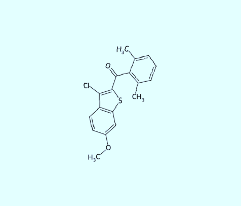 COc1ccc2c(Cl)c(C(=O)c3c(C)cccc3C)sc2c1